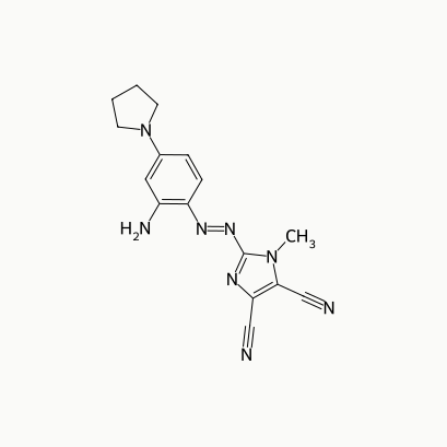 Cn1c(N=Nc2ccc(N3CCCC3)cc2N)nc(C#N)c1C#N